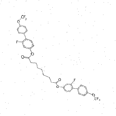 O=C(CCCCCCCC(=O)Oc1ccc(-c2ccc(OC(F)(F)F)cc2)c(F)c1)Oc1ccc(-c2ccc(OC(F)(F)F)cc2)c(F)c1